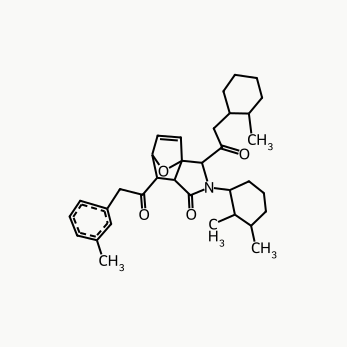 Cc1cccc(CC(=O)C2C3C=CC4(O3)C2C(=O)N(C2CCCC(C)C2C)C4C(=O)CC2CCCCC2C)c1